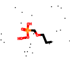 [CH2]CCOCP(=O)(O)OO